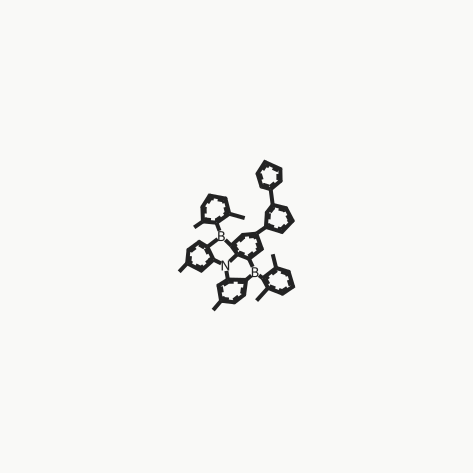 Cc1ccc2c(c1)N1c3cc(C)ccc3B(c3c(C)cccc3C)c3cc(-c4cccc(-c5ccccc5)c4)cc(c31)B2c1c(C)cccc1C